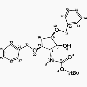 CN(C(=O)OC(C)(C)C)[C@H]1[C@H](O)[C@H](OCc2ccccc2)C[C@@H]1OCc1ccccc1